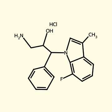 Cc1cn(C(c2ccccc2)C(O)CN)c2c(F)cccc12.Cl